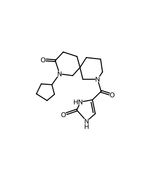 O=C(c1c[nH]c(=O)[nH]1)N1CCCC2(CCC(=O)N(C3CCCC3)C2)C1